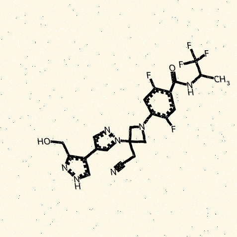 CC(NC(=O)c1cc(F)c(N2CC(CC#N)(n3cc(-c4c[nH]nc4CO)cn3)C2)cc1F)C(F)(F)F